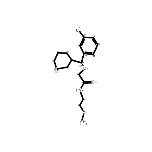 COCCNC(=O)CO[C@@H](c1cccc(Cl)c1)C1CCCNC1